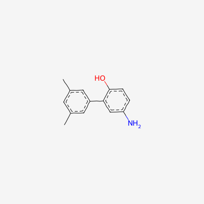 Cc1cc(C)cc(-c2cc(N)ccc2O)c1